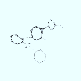 Nc1nnc(-c2ccc(-c3ccccc3S(=O)(=O)N3CCSCC3)cc2F)s1